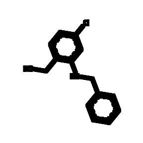 OCc1ccc(Cl)cc1NCc1ccccc1